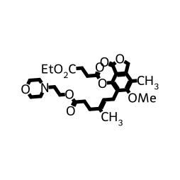 CCOC(=O)CCC(=O)Oc1c(C/C=C(\C)CCC(=O)OCCN2CCOCC2)c(OC)c(C)c2c1C(=O)OC2